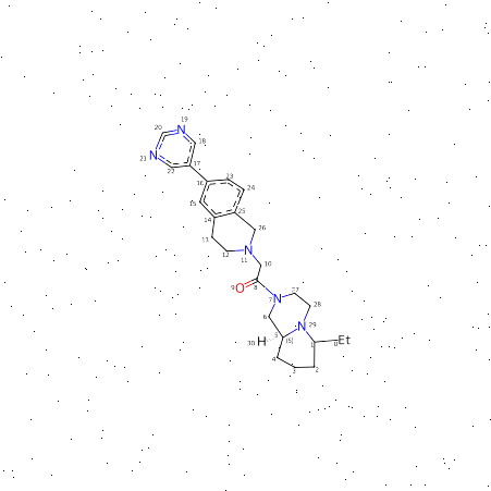 CCC1CCC[C@H]2CN(C(=O)CN3CCc4cc(-c5cncnc5)ccc4C3)CCN12